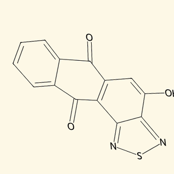 O=C1c2ccccc2C(=O)c2c1cc(O)c1nsnc21